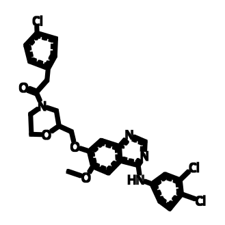 COc1cc2c(Nc3ccc(Cl)c(Cl)c3)ncnc2cc1OCC1CN(C(=O)Cc2ccc(Cl)cc2)CCO1